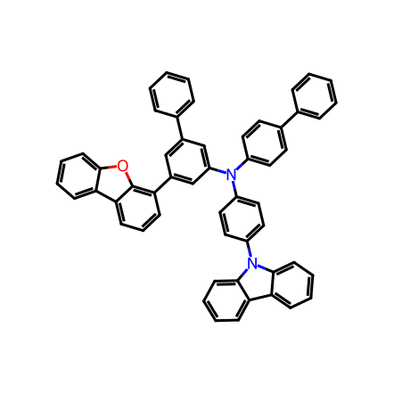 c1ccc(-c2ccc(N(c3ccc(-n4c5ccccc5c5ccccc54)cc3)c3cc(-c4ccccc4)cc(-c4cccc5c4oc4ccccc45)c3)cc2)cc1